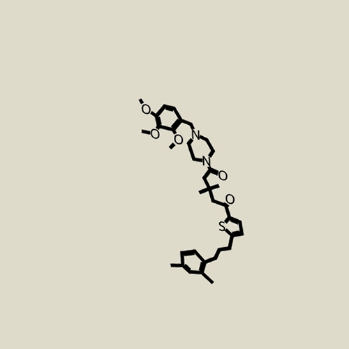 COc1ccc(CN2CCN(C(=O)CC(C)(C)CC(=O)c3ccc(CCCc4ccc(C)cc4C)s3)CC2)c(OC)c1OC